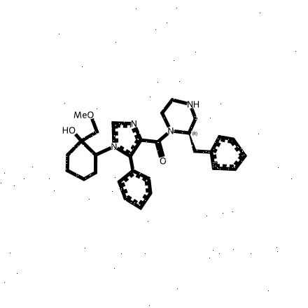 COCC1(O)CCCCC1n1cnc(C(=O)N2CCNC[C@H]2Cc2ccccc2)c1-c1ccccc1